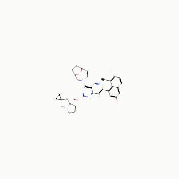 C#Cc1c(F)ccc2cc(O)cc(-c3ncc4c(N5CCC6CCC(C5)O6)nc(OC[C@@]56CCCN5C[C@@]5(CC5(F)F)C6)nc4c3F)c12